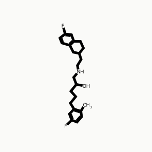 Cc1ccc(F)cc1CCCC(O)CNCCC1CCc2cc(F)ccc2C1